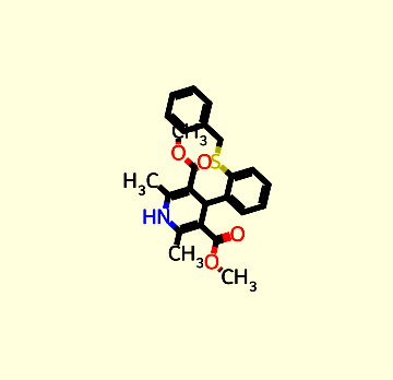 COC(=O)C1=C(C)NC(C)=C(C(=O)OC)C1c1ccccc1SCc1ccccc1